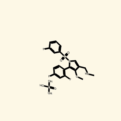 CNCc1cn(S(=O)(=O)c2cccc(F)c2)c(-c2ccc(F)cc2F)c1OC.O=P(O)(O)O